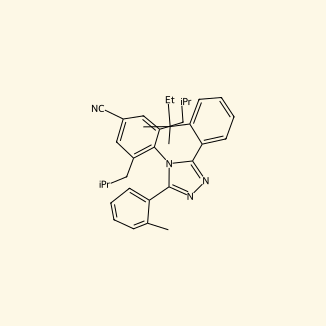 CCC(C)(C)c1ccccc1-c1nnc(-c2ccccc2C)n1-c1c(CC(C)C)cc(C#N)cc1CC(C)C